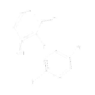 Brc1ccc(I)cc1.Oc1cccc(F)c1F